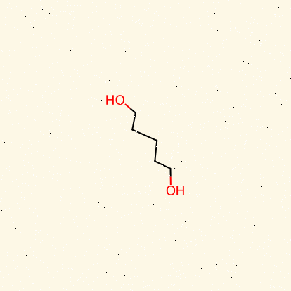 O[CH]CCCCO